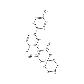 Cc1ccc(-c2ccc(Cl)cc2)cc1C1=C(O)CC2(CCOCC2)CC1=O